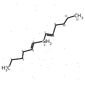 CCCCC=C[SiH2]C=CCCCC